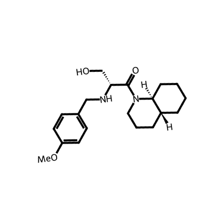 COc1ccc(CN[C@H](CO)C(=O)N2CCC[C@H]3CCCC[C@@H]32)cc1